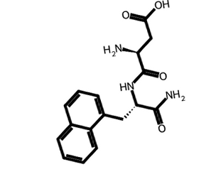 NC(=O)[C@H](Cc1cccc2ccccc12)NC(=O)[C@@H](N)CC(=O)O